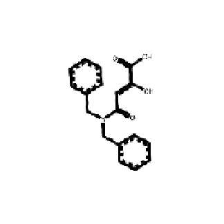 O=C(O)C(O)=CC(=O)N(Cc1ccccc1)Cc1ccccc1